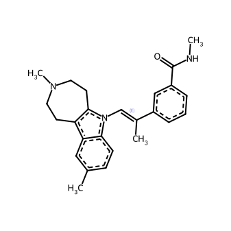 CNC(=O)c1cccc(/C(C)=C/n2c3c(c4cc(C)ccc42)CCN(C)CC3)c1